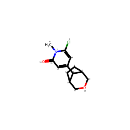 Cn1c(Cl)cc(C2C3CCC2COC3)cc1=O